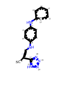 N#C/C(=C/Nc1ccc(Nc2ccccc2)cc1)c1nnn[nH]1